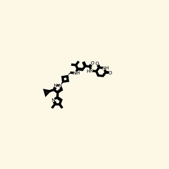 C=C(/C=C(/NC[C@H]1C[C@H](n2cc(C3=CC(C)C(C)=N3)c(C3CC3)n2)C1)C(C)C)C(=O)NC1CCC(=O)NC1=O